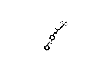 COC(=O)/C=C/C=C(C)/C=C/c1ccc(OCc2ccccc2)cc1